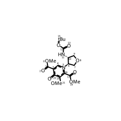 COC(=O)c1cn([C@@H]2COC[C@H]2NC(=O)OC(C)(C)C)c(C(=O)OC)c(OC)c1=O